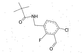 CC(C)(C)C(=O)NCc1ccc(Cl)c(C=O)c1F